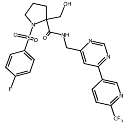 O=C(NCc1cc(-c2ccc(C(F)(F)F)nc2)ncn1)C1(CO)CCCN1S(=O)(=O)c1ccc(F)cc1